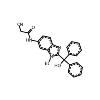 CCn1c(C(O)(c2ccccc2)c2ccccc2)nc2ccc(NC(=O)CC#N)cc21